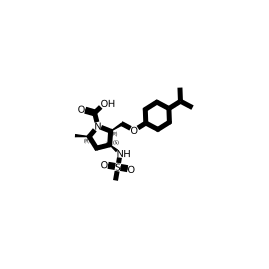 CC(C)C1CCC(OC[C@H]2[C@@H](NS(C)(=O)=O)C[C@@H](C)N2C(=O)O)CC1